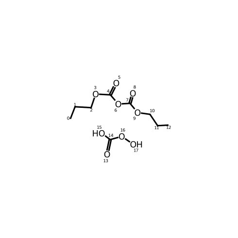 CCCOC(=O)OC(=O)OCCC.O=C(O)OO